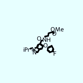 COC(=O)CCCNC(=O)c1cc2c(cnn2CC(C)C)cc1Oc1ccc(F)cc1